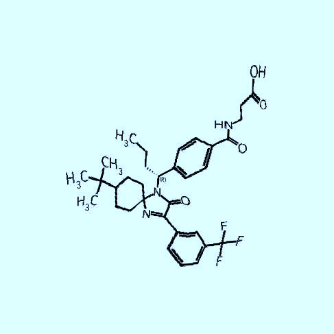 CCC[C@H](c1ccc(C(=O)NCCC(=O)O)cc1)N1C(=O)C(c2cccc(C(F)(F)F)c2)=NC12CCC(C(C)(C)C)CC2